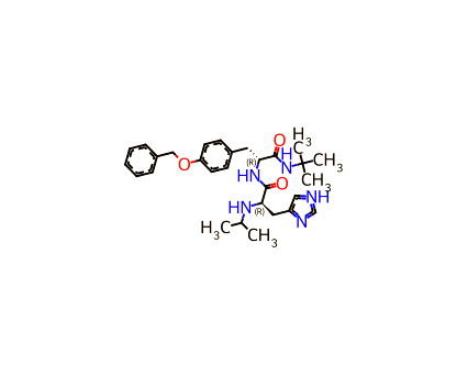 CC(C)N[C@H](Cc1c[nH]cn1)C(=O)N[C@H](Cc1ccc(OCc2ccccc2)cc1)C(=O)NC(C)(C)C